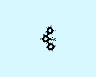 CC(=O)c1c(-c2ccccc2)cccc1-c1ccccc1